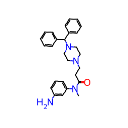 CN(C(=O)CCN1CCN(C(c2ccccc2)c2ccccc2)CC1)c1cccc(N)c1